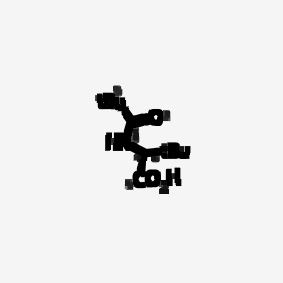 CC(C)(C)C(=O)N[C@H](C(=O)O)C(C)(C)C